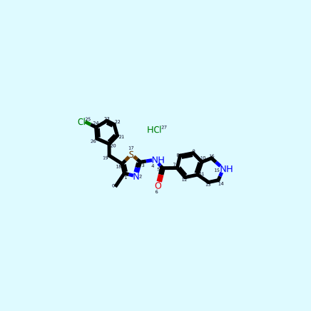 Cc1nc(NC(=O)c2ccc3c(c2)CCNC3)sc1Cc1cccc(Cl)c1.Cl